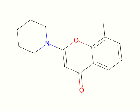 Cc1cccc2c(=O)cc(N3CCCCC3)oc12